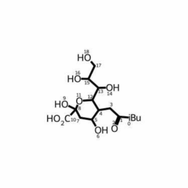 CCC(C)C(=O)CC1C(O)CC(O)(C(=O)O)OC1C(O)C(O)CO